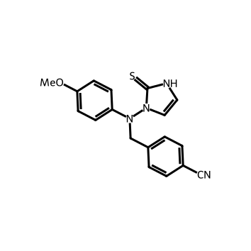 COc1ccc(N(Cc2ccc(C#N)cc2)n2cc[nH]c2=S)cc1